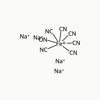 N#[C][Fe-4]([C]#N)([C]#N)([C]#N)([C]#N)([C]#N)[N]=O.[Na+].[Na+].[Na+].[Na+]